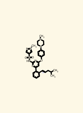 CC(C)C/C=C/c1ccccc1-c1cc(Oc2ccc(N3CCN(C)CC3)cc2)nc(NS(=O)(=O)c2cnn(C)c2)n1